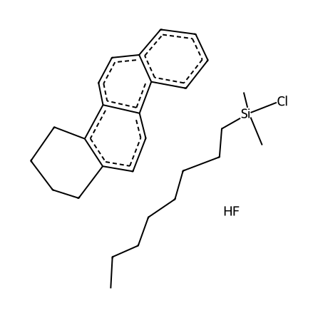 CCCCCCCC[Si](C)(C)Cl.F.c1ccc2c(c1)ccc1c3c(ccc12)CCCC3